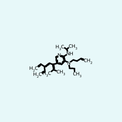 C=CCCN(CCC)c1cc(C(C=C(C=C)C=C)=C(C)C)cnc1NC(C)C